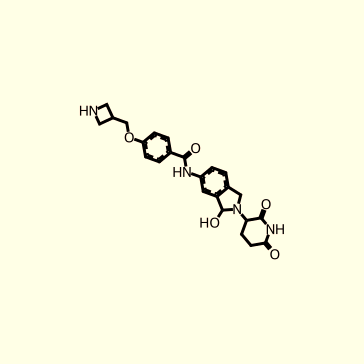 O=C1CCC(N2Cc3ccc(NC(=O)c4ccc(OCC5CNC5)cc4)cc3C2O)C(=O)N1